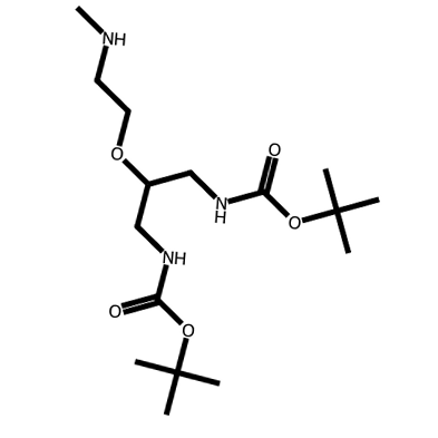 CNCCOC(CNC(=O)OC(C)(C)C)CNC(=O)OC(C)(C)C